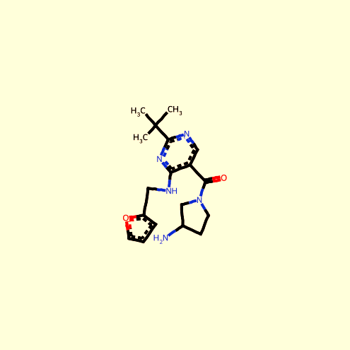 CC(C)(C)c1ncc(C(=O)N2CCC(N)C2)c(NCc2ccco2)n1